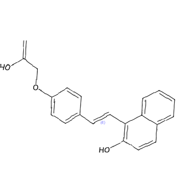 C=C(O)COc1ccc(/C=C/c2c(O)ccc3ccccc23)cc1